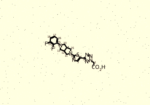 O=C(O)Cn1nnc(-c2cnc(N3CC4CN(c5cccc(F)c5F)CC4C3)s2)n1